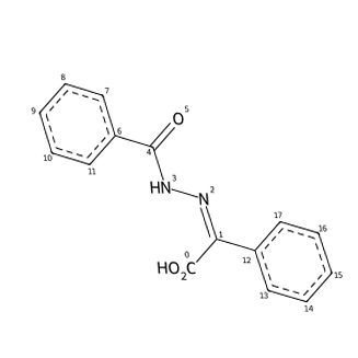 O=C(O)/C(=N\NC(=O)c1ccccc1)c1ccccc1